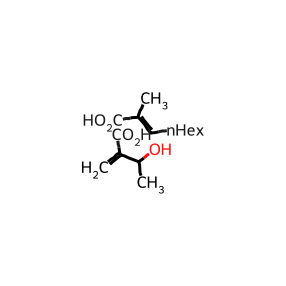 C=C(C(=O)O)C(C)O.CCCCCC/C=C(\C)C(=O)O